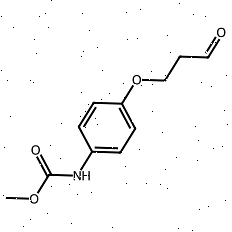 COC(=O)Nc1ccc(OCCC=O)cc1